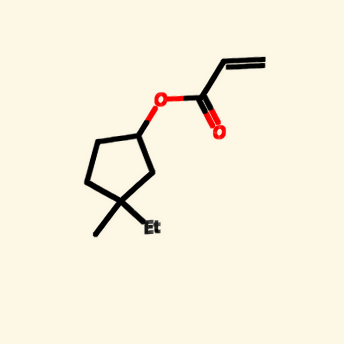 C=CC(=O)OC1CCC(C)(CC)C1